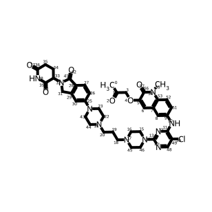 CC(=O)COc1cc2cc(Nc3nc(N4CCN(CCCN5CCN(c6ccc7c(c6)CN(C6CCC(=O)NC6=O)C7=O)CC5)CC4)ncc3Cl)ccc2n(C)c1=O